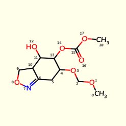 COCOC1CC2=NOCC2C(O)C1OC(=O)OC